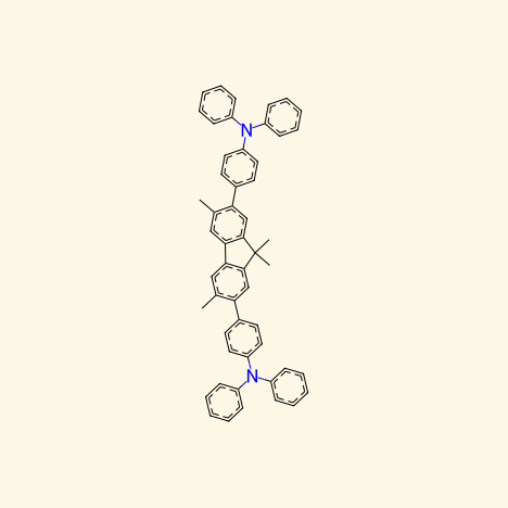 Cc1cc2c(cc1-c1ccc(N(c3ccccc3)c3ccccc3)cc1)C(C)(C)c1cc(-c3ccc(N(c4ccccc4)c4ccccc4)cc3)c(C)cc1-2